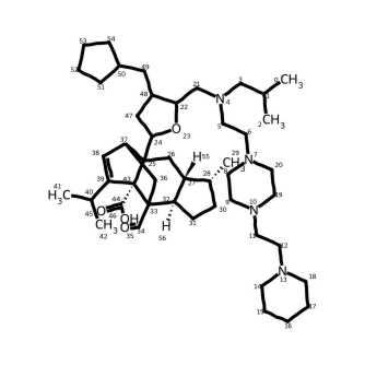 CC(C)CN(CCN1CCN(CCN2CCCCC2)CC1)CC1OC(C23C[C@@H]4[C@H](C)CC[C@H]4C4(C=O)CC2C=C(C(C)C)[C@@]34C(=O)O)CC1CC1CCCC1